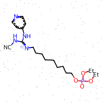 CCOP(=O)(OCC)OCCCCCCCCC/N=C(/NC#N)Nc1ccncc1